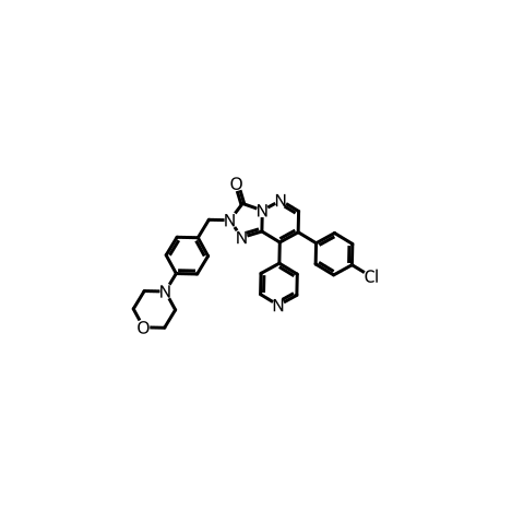 O=c1n(Cc2ccc(N3CCOCC3)cc2)nc2c(-c3ccncc3)c(-c3ccc(Cl)cc3)cnn12